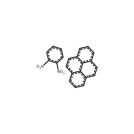 O=[N+]([O-])c1ccccc1[N+](=O)[O-].c1cc2ccc3cccc4ccc(c1)c2c34